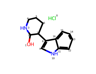 Cl.OC1NCCCC1c1c[nH]c2ccccc12